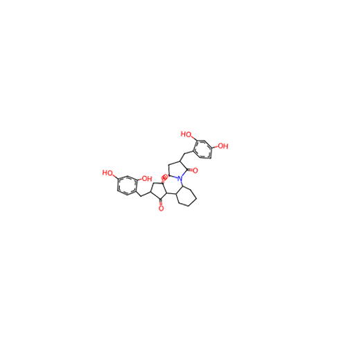 O=C1CC(Cc2ccc(O)cc2O)C(=O)C1C1CCCCC1N1C(=O)CC(Cc2ccc(O)cc2O)C1=O